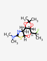 C[C@H](F)[C@H]1O[C@@H]2SC(N(C)C)=N[C@@H]2[C@H]2OC(C)(C)O[C@@H]21